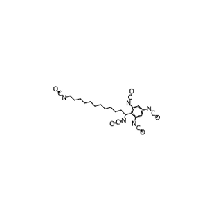 O=C=NCCCCCCCCCCCC(N=C=O)c1c(N=C=O)cc(N=C=O)cc1N=C=O